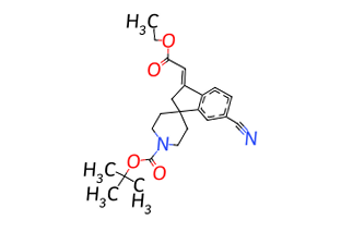 CCOC(=O)C=C1CC2(CCN(C(=O)OC(C)(C)C)CC2)c2cc(C#N)ccc21